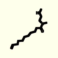 C=CCCCCCCCCC(=O)N(C)CCNC